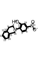 O=[N+]([O-])c1ccc(N2CCc3ccccc3C2)c(O)c1